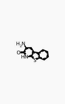 Nc1cc2c([nH]c1=O)sc1ccccc12